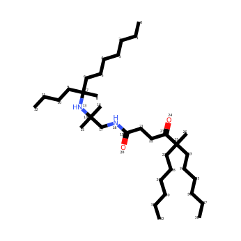 CCCCCCCC(C)(CCCC)NC(C)(C)CNC(=O)CCC(=O)C(C)(CCCCCC)CCCCCC